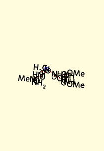 CN[C@@H](CCCCNC(=O)c1ccc(/C(C)=N\OCCCCNC(=O)CCCOC(COC(=O)NCCOC)COC(=O)NCCOC)cc1)C(N)=O